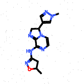 CC1CC(NC2=NC=CN3C2=NCC3c2cnn(C)c2)=NO1